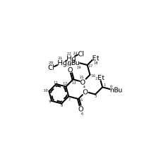 CCCCC(CC)COC(=O)c1ccccc1C(=O)OCC(CC)CCCC.[Cl][Hg][Hg][Cl]